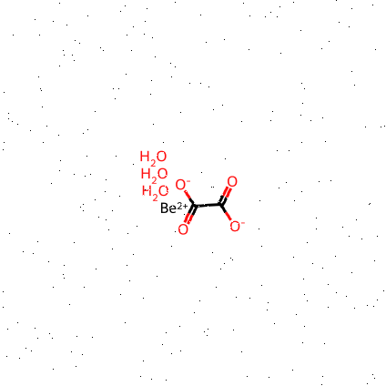 O.O.O.O=C([O-])C(=O)[O-].[Be+2]